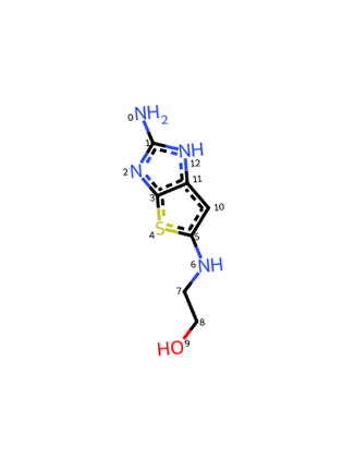 Nc1nc2sc(NCCO)cc2[nH]1